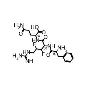 N=C(N)NCC(F)C(F)[C@H](NC(=O)[C@@H](N)Cc1ccccc1)C(=O)N[C@@H](CCC(N)=O)C(=O)O